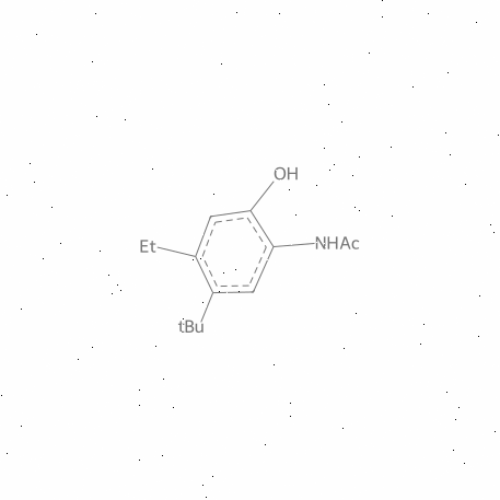 CCc1cc(O)c(NC(C)=O)cc1C(C)(C)C